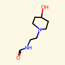 O=CNCCN1CCC(O)CC1